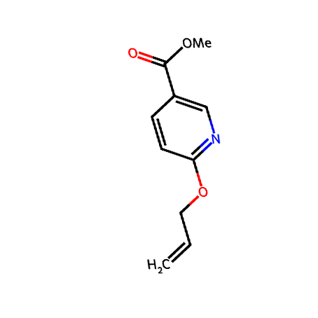 C=CCOc1ccc(C(=O)OC)cn1